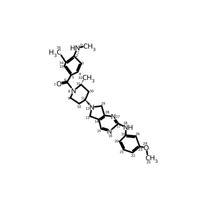 CNc1ccc(C(=O)N2CC[C@H](N3Cc4cnc(Nc5cccc(OC)c5)nc4C3)C[C@H]2C)cc1C